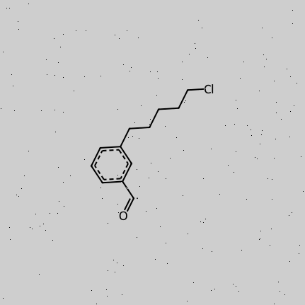 O=[C]c1cccc(CCCCCCl)c1